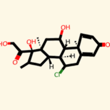 CC1C[C@H]2[C@@H]3C(Cl)CC4=CC(=O)C=C[C@]4(C)[C@H]3C(O)C[C@]2(C)[C@@]1(O)C(=O)CO